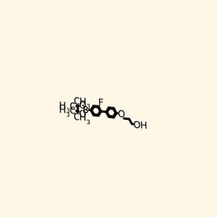 CC1(C)OB(c2ccc(-c3ccc(OCCCO)cc3)c(F)c2)OC1(C)C